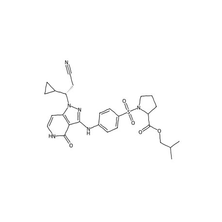 CC(C)COC(=O)C1CCCN1S(=O)(=O)c1ccc(Nc2nn([C@@H](CC#N)C3CC3)c3cc[nH]c(=O)c23)cc1